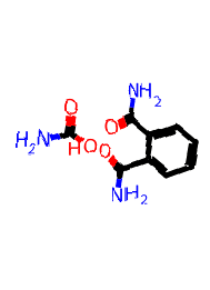 NC(=O)O.NC(=O)c1ccccc1C(N)=O